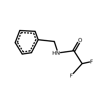 O=C(NCc1ccccc1)C(F)F